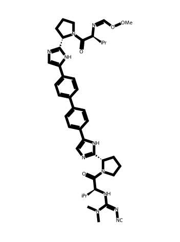 [C-]#[N+]N=C(N[C@H](C(=O)N1CCC[C@H]1c1ncc(-c2ccc(-c3ccc(-c4cnc([C@@H]5CCCN5C(=O)[C@@H](/N=C\OOC)C(C)C)[nH]4)cc3)cc2)[nH]1)C(C)C)N(C)C